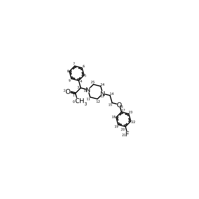 CC(=O)C(c1ccccc1)N1CCN(CCOc2ccc(F)cc2)CC1